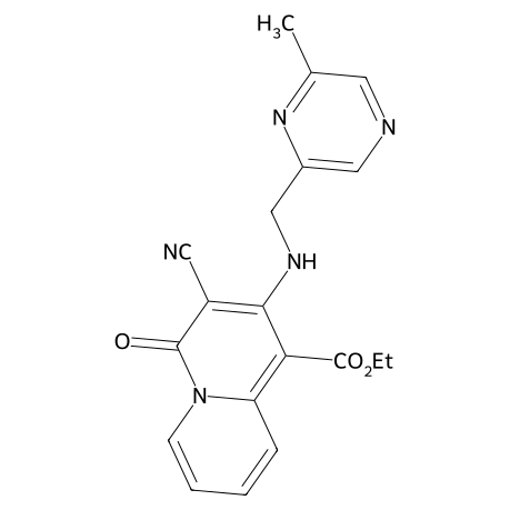 CCOC(=O)c1c(NCc2cncc(C)n2)c(C#N)c(=O)n2ccccc12